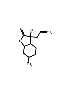 C=CCC1(C)C(=O)OC2C[C@H](C)CCC21